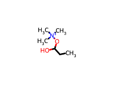 CCC(O)O[N+](C)(C)C